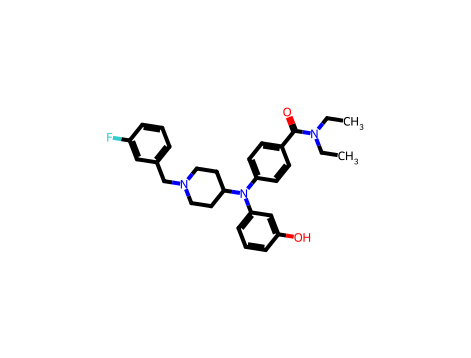 CCN(CC)C(=O)c1ccc(N(c2cccc(O)c2)C2CCN(Cc3cccc(F)c3)CC2)cc1